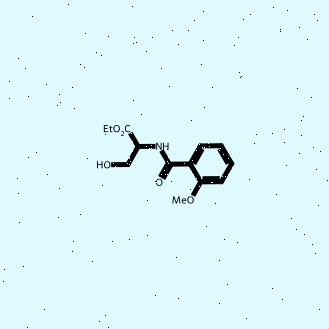 CCOC(=O)C(CO)NC(=O)c1ccccc1OC